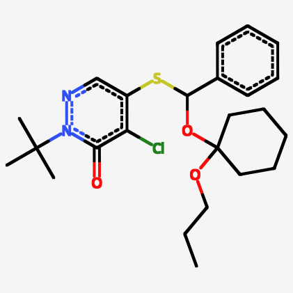 CCCOC1(OC(Sc2cnn(C(C)(C)C)c(=O)c2Cl)c2ccccc2)CCCCC1